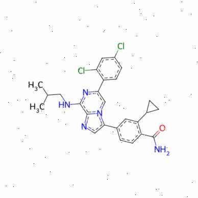 CC(C)CNc1nc(-c2ccc(Cl)cc2Cl)cn2c(-c3ccc(C(N)=O)c(C4CC4)c3)cnc12